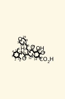 Cc1cccc(C)c1NC(=O)C1Cn2cc(C(=O)O)c(=O)c(O)c2C(=O)N1CCN1CCOCC1